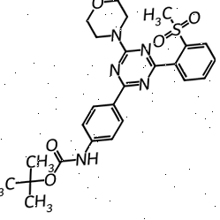 CC(C)(C)OC(=O)Nc1ccc(-c2nc(-c3ccccc3S(C)(=O)=O)nc(N3CCOCC3)n2)cc1